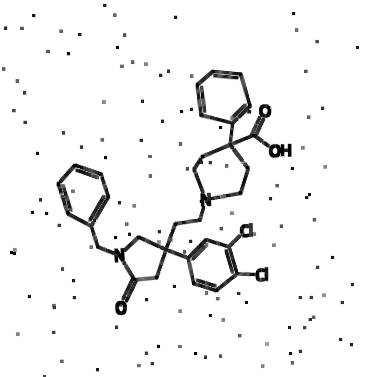 O=C1CC(CCN2CCC(C(=O)O)(c3ccccc3)CC2)(c2ccc(Cl)c(Cl)c2)CN1Cc1ccccc1